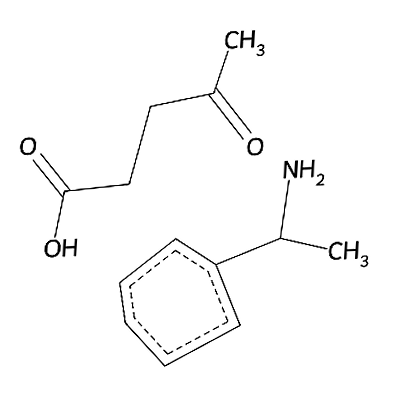 CC(=O)CCC(=O)O.CC(N)c1ccccc1